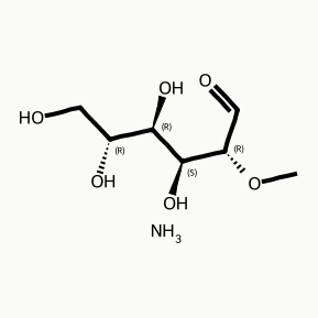 CO[C@@H](C=O)[C@@H](O)[C@H](O)[C@H](O)CO.N